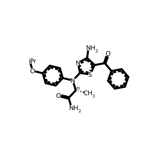 CC(C)Oc1ccc(N(c2nc(N)c(C(=O)c3ccccc3)s2)[C@H](C)C(N)=O)cc1